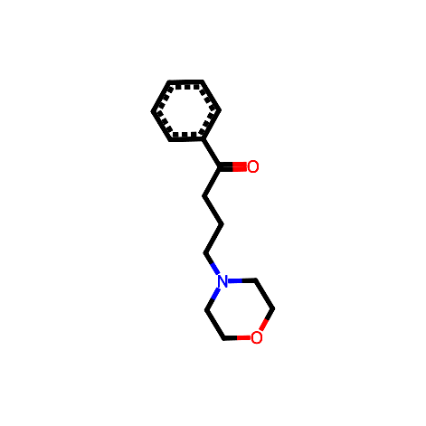 O=C(CCCN1CCOCC1)c1ccccc1